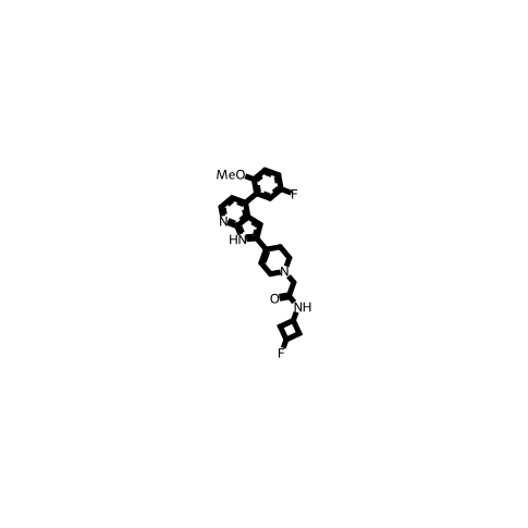 COc1ccc(F)cc1-c1ccnc2[nH]c(C3=CCN(CC(=O)NC4CC(F)C4)CC3)cc12